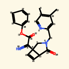 Cc1cnc(CN2C[C@@]3(C(=N)C(=O)Oc4ccccc4)C=CC3C2=O)cc1C